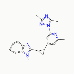 Cc1cc(C2CC2c2nc3ccccc3n2C)cc(-n2nc(C)nc2C)n1